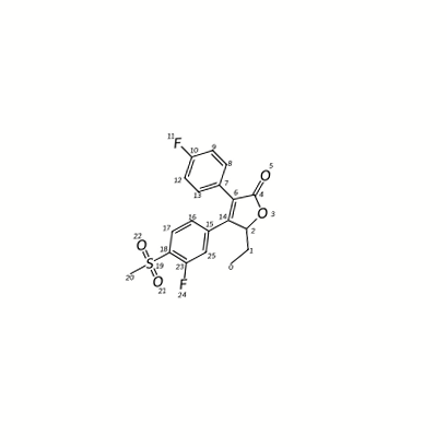 CCC1OC(=O)C(c2ccc(F)cc2)=C1c1ccc(S(C)(=O)=O)c(F)c1